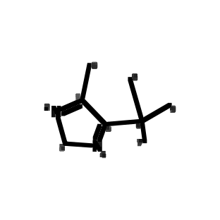 CC1=NCN=C1C(C)(C)C